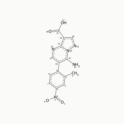 Cc1cc([N+](=O)[O-])ccc1-c1cnc2c(C(=O)O)cnn2c1N